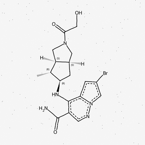 C[C@@H]1[C@H]2CN(C(=O)CO)C[C@H]2C[C@H]1Nc1c(C(N)=O)cnn2cc(Br)cc12